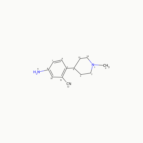 CN1CCC(c2ccc(N)cc2C#N)CC1